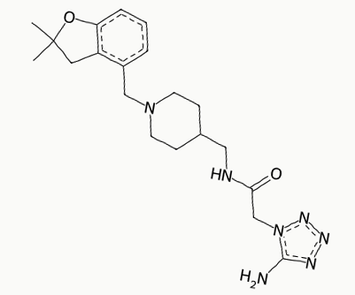 CC1(C)Cc2c(CN3CCC(CNC(=O)Cn4nnnc4N)CC3)cccc2O1